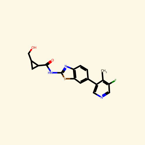 Cc1c(F)cncc1-c1ccc2nc(NC(=O)C3CC3CO)sc2c1